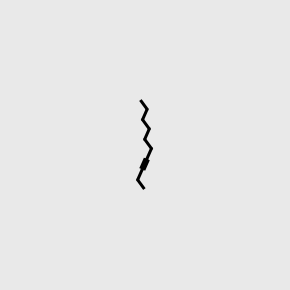 CCC#CCCCCCC